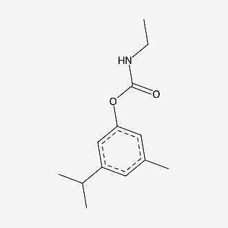 CCNC(=O)Oc1cc(C)cc(C(C)C)c1